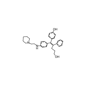 OCCCC(=C(c1ccc(O)cc1)c1ccc(NCCN2CCCCC2)cc1)c1ccccc1